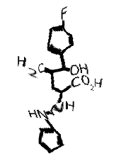 C=C(CC(NNc1ccccc1)C(=O)O)C(O)c1ccc(F)cc1